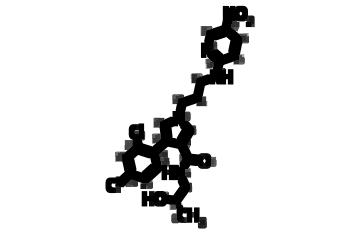 C[C@H](O)CNC(=O)c1cn(CCCNc2ccc([N+](=O)[O-])cn2)cc1-c1ccc(Cl)cc1Cl